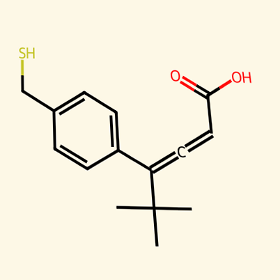 CC(C)(C)C(=C=CC(=O)O)c1ccc(CS)cc1